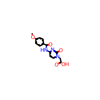 COc1ccc(C(=O)Nc2ccn(CC(=O)O)c(=O)n2)cc1